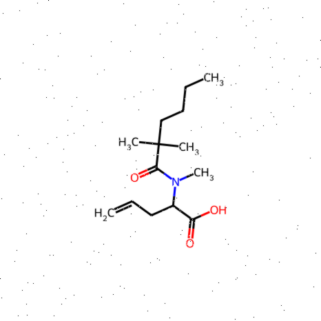 C=CCC(C(=O)O)N(C)C(=O)C(C)(C)CCCC